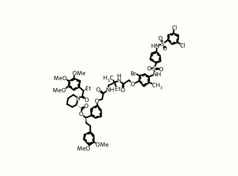 CC[C@H](C(=O)N1CCCC[C@H]1C(=O)O[C@H](CCc1ccc(OC)c(OC)c1)c1cccc(OCC(=O)NCC(C)(CC)NC(=O)COc2cc(C)c(NS(=O)(=O)c3ccc(NS(=O)(=O)c4cc(Cl)cc(Cl)c4)cc3)cc2Br)c1)c1cc(OC)c(OC)c(OC)c1